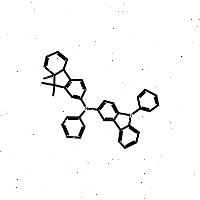 CC1(C)c2cc(N(c3ccccc3)c3ccc4c(c3)c3ccccc3n4-c3ccccc3)ccc2C2C=CC=CC21C